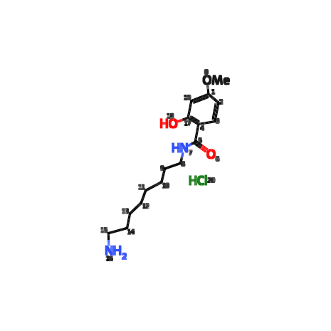 COc1ccc(C(=O)NCCCCCCCCN)c(O)c1.Cl